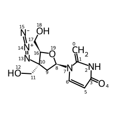 C=C1NC(=O)C=CN1[C@H]1C[C@@](CO)(N=[N+]=[N-])[C@@H](CO)O1